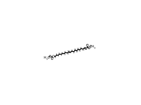 COC(=O)OCCCCCCCCCC=CCCCCCCCCCOC(=O)OC